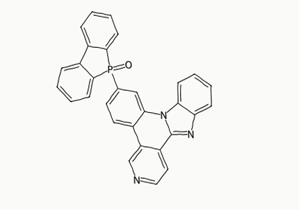 O=P1(c2ccc3c4cnccc4c4nc5ccccc5n4c3c2)c2ccccc2-c2ccccc21